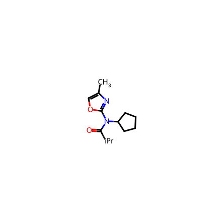 Cc1coc(N(C(=O)C(C)C)C2CCCC2)n1